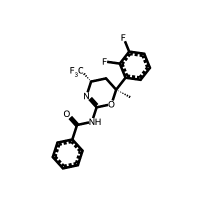 C[C@@]1(c2cccc(F)c2F)C[C@@H](C(F)(F)F)N=C(NC(=O)c2ccccc2)O1